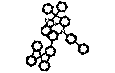 c1ccc(-c2ccc(N(c3cccc(-c4ccc5c(c4)C4(c6ccccc6-c6ccccc64)c4ccccc4-5)c3)c3cccc4c3-n3c(nc5ccccc53)C4(c3ccccc3)c3ccccc3)cc2)cc1